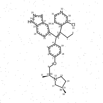 CCC(=C(c1ccc(OC[C@H](C)N2CC[C@@H](C)C2)cc1)c1ccc2[nH]ncc2c1)c1ccncc1Cl